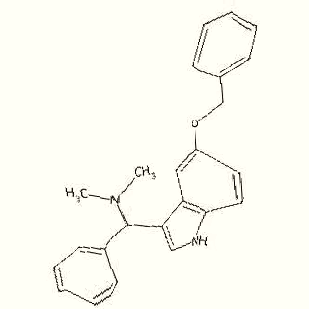 CN(C)C(c1ccccc1)c1c[nH]c2ccc(OCc3ccccc3)cc12